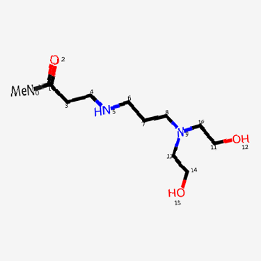 CNC(=O)CCNCCCN(CCO)CCO